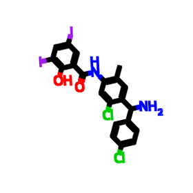 Cc1cc(C(N)c2ccc(Cl)cc2)c(Cl)cc1NC(=O)c1cc(I)cc(I)c1O